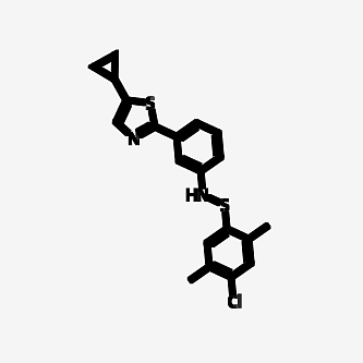 Cc1cc(SNc2cccc(-c3ncc(C4CC4)s3)c2)c(C)cc1Cl